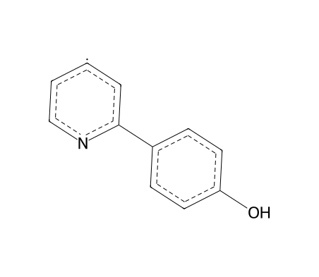 Oc1ccc(-c2c[c]ccn2)cc1